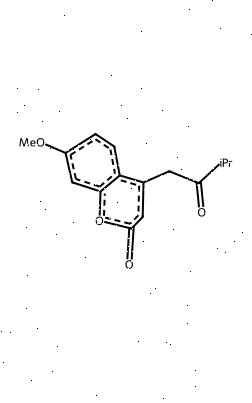 COc1ccc2c(CC(=O)C(C)C)cc(=O)oc2c1